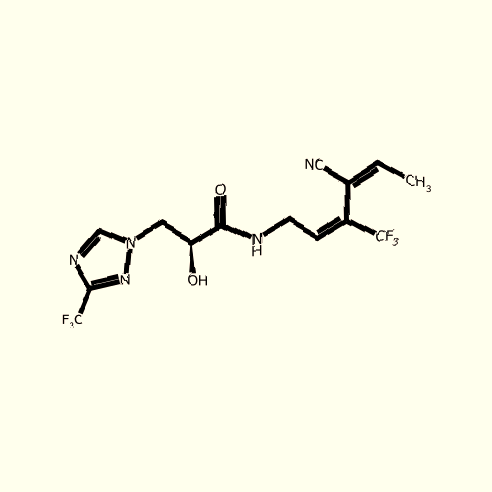 C/C=C(C#N)\C(=C/CNC(=O)[C@@H](O)Cn1cnc(C(F)(F)F)n1)C(F)(F)F